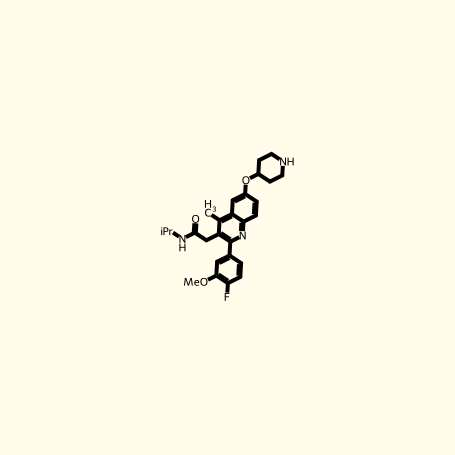 COc1cc(-c2nc3ccc(OC4CCNCC4)cc3c(C)c2CC(=O)NC(C)C)ccc1F